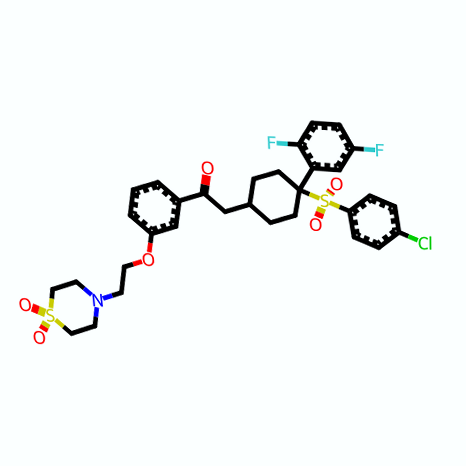 O=C(CC1CCC(c2cc(F)ccc2F)(S(=O)(=O)c2ccc(Cl)cc2)CC1)c1cccc(OCCN2CCS(=O)(=O)CC2)c1